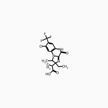 CCC1(C(C)C(=O)O)N=C2C(=O)Nc3cc(C(F)(F)F)c(Cl)cc3N2C1C